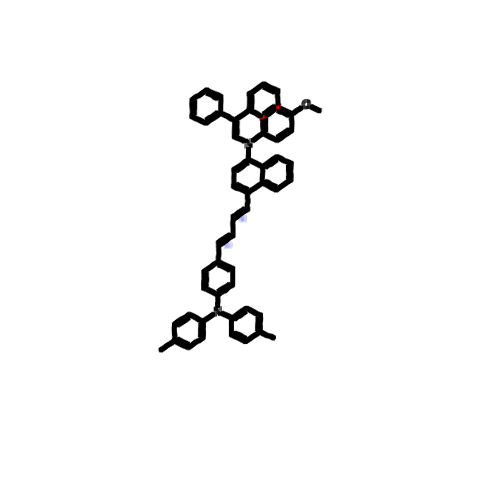 COc1ccc(N(C=C(c2ccccc2)c2ccccc2)c2ccc(/C=C/C=C/c3ccc(N(c4ccc(C)cc4)c4ccc(C)cc4)cc3)c3ccccc23)cc1